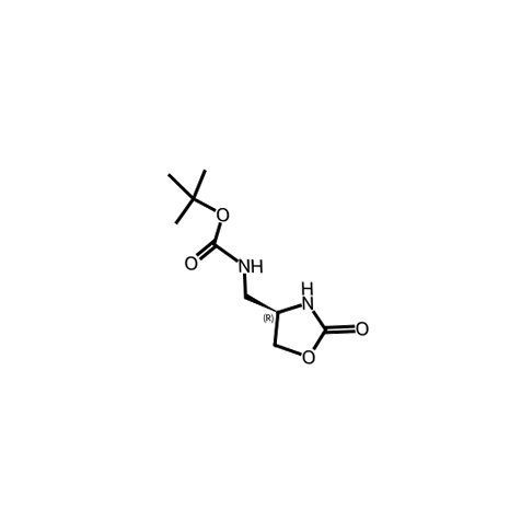 CC(C)(C)OC(=O)NC[C@@H]1COC(=O)N1